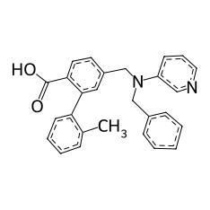 Cc1ccccc1-c1cc(CN(Cc2ccccc2)c2cccnc2)ccc1C(=O)O